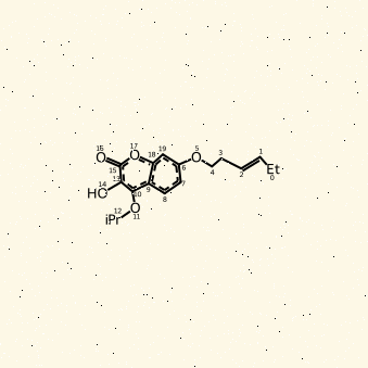 CC/C=C/CCOc1ccc2c(OC(C)C)c(O)c(=O)oc2c1